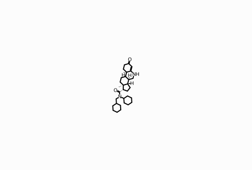 C[C@]12CC[C@H]3[C@@H](CNC4=CC(=O)CC[C@@]43C)[C@@H]1CC[C@@H]2C(=O)N(CC1CCCCC1)C1CCCCC1